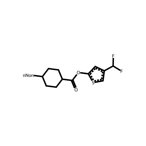 CCCCCCCCCC1CCC(C(=O)Oc2cc(C(F)F)cs2)CC1